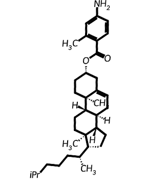 Cc1cc(N)ccc1C(=O)O[C@H]1CC[C@@]2(C)C(=CC[C@H]3[C@@H]4CC[C@H]([C@H](C)CCCC(C)C)[C@@]4(C)CC[C@@H]32)C1